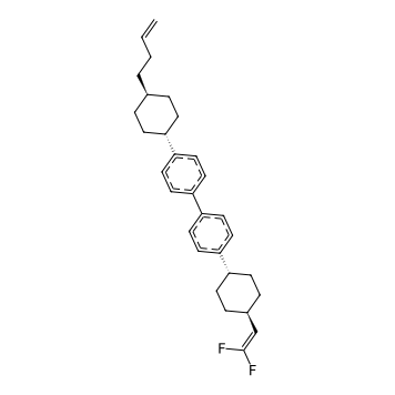 C=CCC[C@H]1CC[C@H](c2ccc(-c3ccc([C@H]4CC[C@H](C=C(F)F)CC4)cc3)cc2)CC1